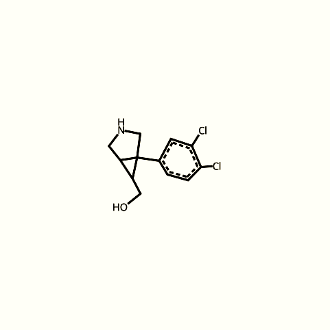 OCC1C2CNCC12c1ccc(Cl)c(Cl)c1